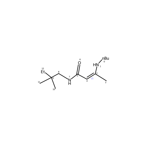 CCCCN/C(C)=C\C(=O)NCC(C)(C)CC